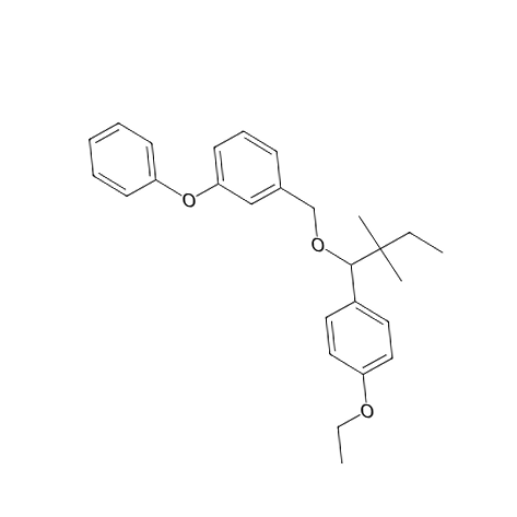 CCOc1ccc(C(OCc2cccc(Oc3ccccc3)c2)C(C)(C)CC)cc1